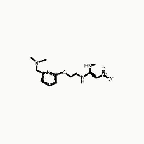 CNC(=C[N+](=O)[O-])NCCSc1cccc(CN(C)C)n1